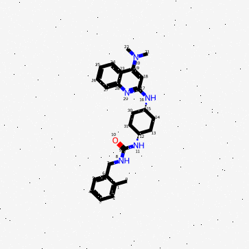 Cc1ccccc1CNC(=O)N[C@H]1CC[C@@H](Nc2cc(N(C)C)c3ccccc3n2)CC1